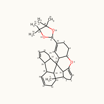 CC1CCC=C2OC3CCC(B4OC(C)(C)C(C)(C)O4)=CC3C3(C4CCC=CC4C4C=CCCC43)C21